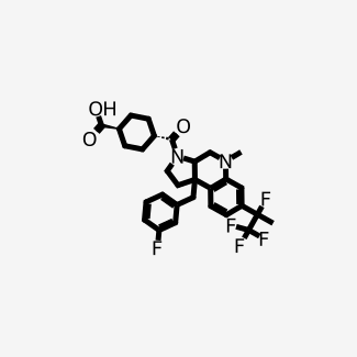 CN1CC2N(C(=O)[C@H]3CC[C@H](C(=O)O)CC3)CCC2(Cc2cccc(F)c2)c2ccc(C(C)(F)C(F)(F)F)cc21